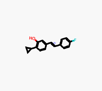 Oc1cc(/C=C/c2ccc(F)cc2)ccc1C1CC1